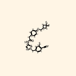 N#Cc1ccc(Cn2ncc(NC(=O)Cc3ccc(OCC4CC(F)(F)C4)cc3)n2)cc1F